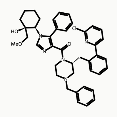 COC[C@]1(O)CCCC[C@H]1n1cnc(C(=O)N2CCN(Cc3ccccc3)C[C@H]2Cc2ccccc2-c2cccc(Cl)n2)c1-c1ccccc1